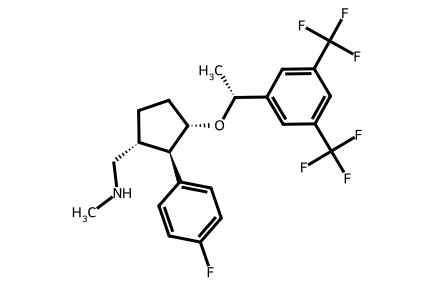 CNC[C@@H]1CC[C@H](O[C@H](C)c2cc(C(F)(F)F)cc(C(F)(F)F)c2)[C@H]1c1ccc(F)cc1